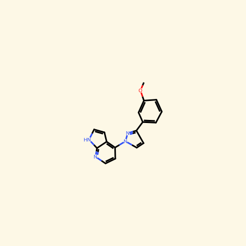 COc1cccc(-c2ccn(-c3ccnc4[nH]ccc34)n2)c1